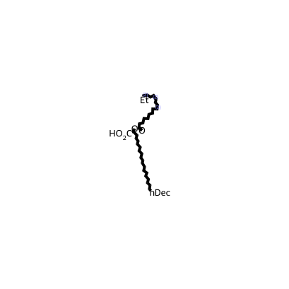 CC/C=C\C/C=C\C/C=C\CCCCCCCC(=O)OC(CCCCCCCCCCCCCCCCCCCCCCCCCCCC)C(=O)O